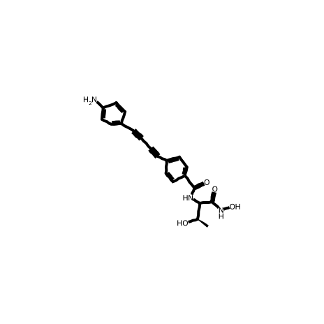 C[C@@H](O)C(NC(=O)c1ccc(C#CC#Cc2ccc(N)cc2)cc1)C(=O)NO